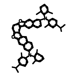 Cc1cc(C(C)C)ccc1N(c1ccc2cc3c(cc2c1)oc1ccc2oc4cc5cc(N(c6ccc(C(C)C)cc6C)c6c(C)cccc6C)ccc5cc4c2c13)c1c(C)cccc1C